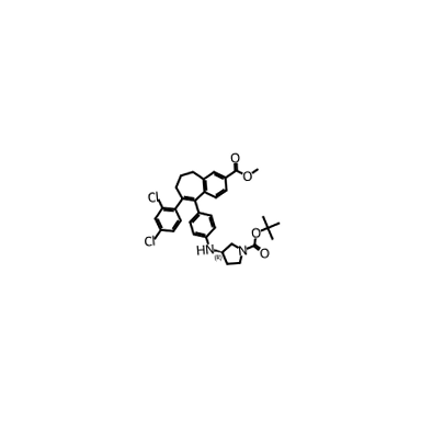 COC(=O)c1ccc2c(c1)CCCC(c1ccc(Cl)cc1Cl)=C2c1ccc(N[C@@H]2CCN(C(=O)OC(C)(C)C)C2)cc1